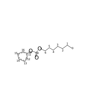 CCCCCCCOC(=O)Oc1ccccc1